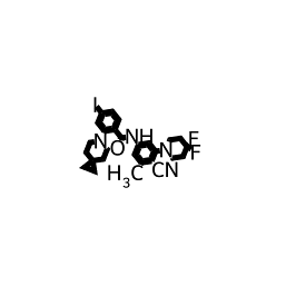 Cc1cc(NC(=O)c2ccc(I)cc2N2CCC3(CC2)CC3)cc(N2CCC(F)(F)CC2)c1C#N